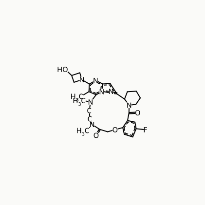 Cc1c(N2CC(O)C2)nc2cc3nn2c1N(C)CCN(C)C(=O)COc1ccc(F)cc1C(=O)N1CCCCC31